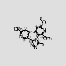 COc1ccc(-n2c(C)nnc2-c2ccc(Cl)nc2)c(OC)n1